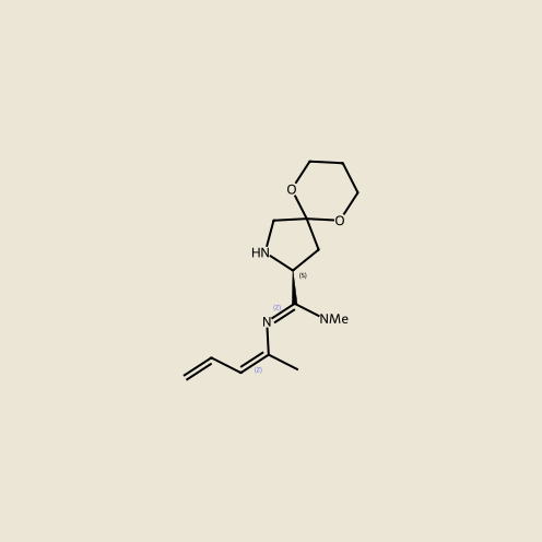 C=C/C=C(C)\N=C(/NC)[C@@H]1CC2(CN1)OCCCO2